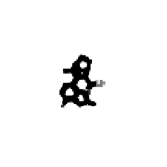 CC1=Cc2c(-c3c(C)c4c(C)c(c3C([NH])=O)CC4)ccc(F)c2C1